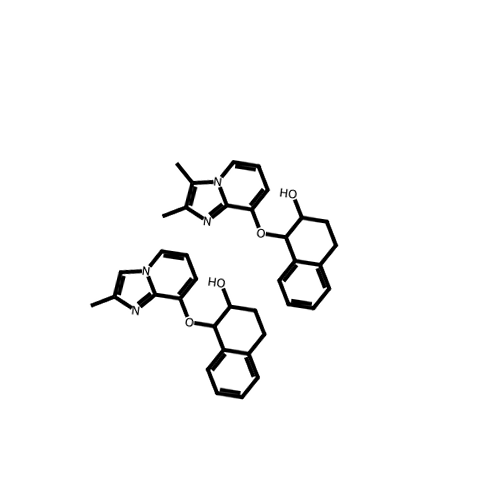 Cc1cn2cccc(OC3c4ccccc4CCC3O)c2n1.Cc1nc2c(OC3c4ccccc4CCC3O)cccn2c1C